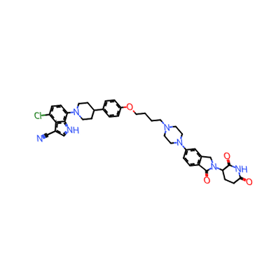 N#Cc1c[nH]c2c(N3CCC(c4ccc(OCCCCN5CCN(c6ccc7c(c6)CN(C6CCC(=O)NC6=O)C7=O)CC5)cc4)CC3)ccc(Cl)c12